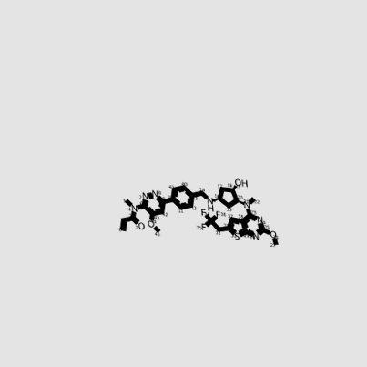 C=CC(=O)N(C)c1nnc(-c2ccc(CN[C@H]3C[C@@H](O)[C@@H](N(C)c4nc(OC)nc5sc(CC(F)(F)F)cc45)C3)cc2)cc1OC